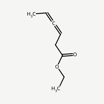 CC=C=CCC(=O)OCC